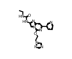 CCNC(=O)Nc1cn2c(OCCn3cncn3)nc(-c3cccnc3)cc2n1